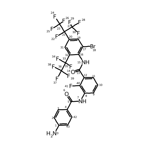 Nc1ccc(C(=O)Nc2cccc(C(=O)Nc3c(Br)cc(C(F)(C(F)(F)F)C(F)(F)F)cc3C(F)(F)C(F)(F)F)c2F)cc1